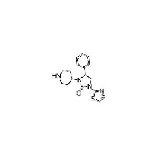 O=C1N(c2nccs2)CC(c2ccccc2)N1C1CCNCC1